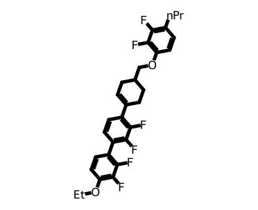 CCCc1ccc(OCC2CC=C(c3ccc(-c4ccc(OCC)c(F)c4F)c(F)c3F)CC2)c(F)c1F